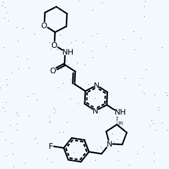 O=C(C=Cc1cnc(N[C@@H]2CCN(Cc3ccc(F)cc3)C2)cn1)NOC1CCCCO1